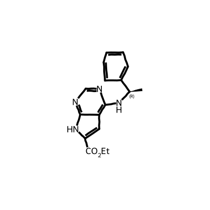 CCOC(=O)c1cc2c(N[C@H](C)c3ccccc3)ncnc2[nH]1